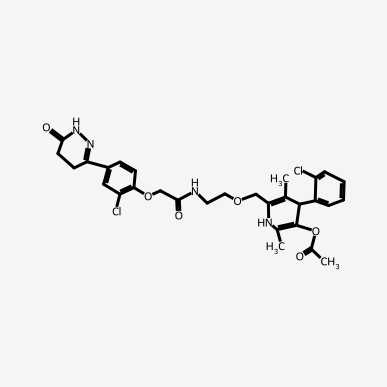 CC(=O)OC1=C(C)NC(COCCNC(=O)COc2ccc(C3=NNC(=O)CC3)cc2Cl)=C(C)C1c1ccccc1Cl